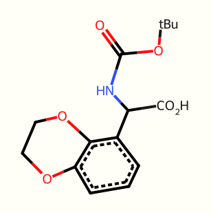 CC(C)(C)OC(=O)NC(C(=O)O)c1cccc2c1OCCO2